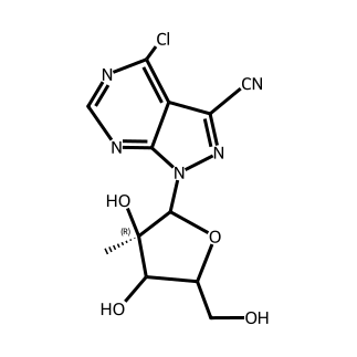 C[C@@]1(O)C(O)C(CO)OC1n1nc(C#N)c2c(Cl)ncnc21